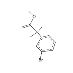 C=C(OC)C(C)(C)c1cccc(Br)c1